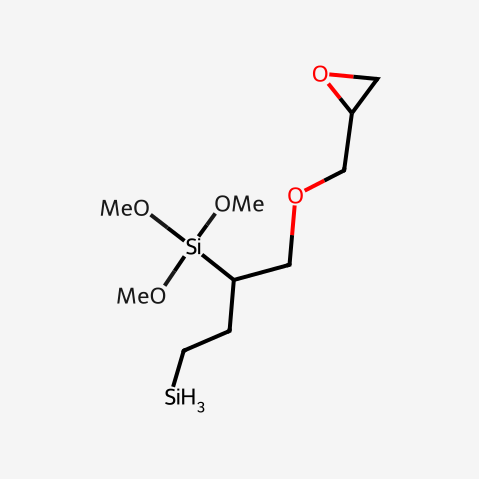 CO[Si](OC)(OC)C(CC[SiH3])COCC1CO1